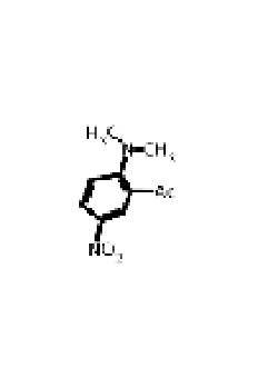 CC(=O)c1cc([N+](=O)[O-])ccc1N(C)C